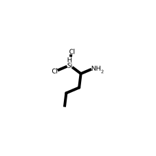 CCCC(N)[SiH](Cl)Cl